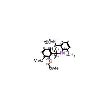 CCC(C)(Pc1c(C)cccc1CNC(C)(C)C)c1cccc(OC)c1OCOC